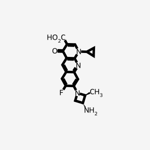 C[C@H]1[C@H](N)CN1c1cc2nc3c(cc2cc1F)c(=O)c(C(=O)O)cn3C1CC1